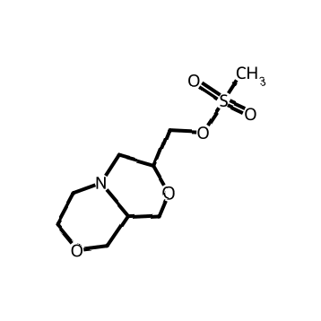 CS(=O)(=O)OCC1CN2CCOCC2CO1